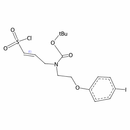 CC(C)(C)OC(=O)N(C/C=C/S(=O)(=O)Cl)CCOc1ccc(I)cc1